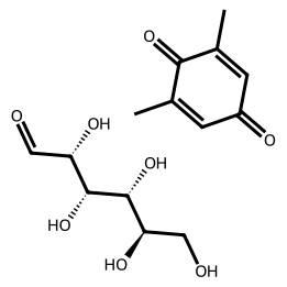 CC1=CC(=O)C=C(C)C1=O.O=C[C@H](O)[C@@H](O)[C@H](O)[C@H](O)CO